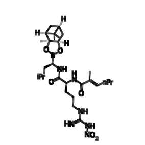 CCC/C=C(\C)C(=O)N[C@@H](CCCNC(=N)N[N+](=O)[O-])C(=O)N[C@@H](CC(C)C)B1O[C@@H]2C[C@@H]3C[C@@H](C3(C)C)[C@]2(C)O1